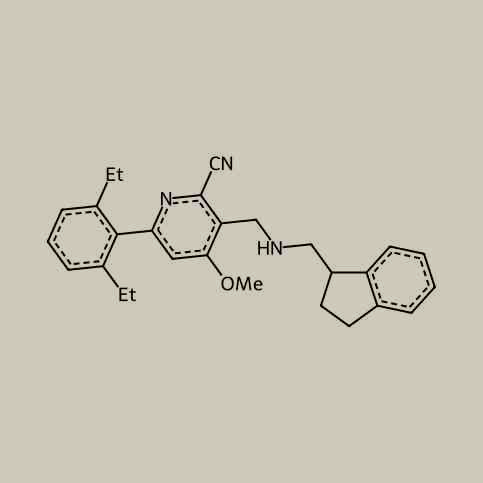 CCc1cccc(CC)c1-c1cc(OC)c(CNCC2CCc3ccccc32)c(C#N)n1